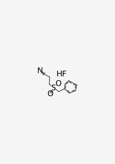 F.N#CCCS(=O)(=O)Cc1ccccc1